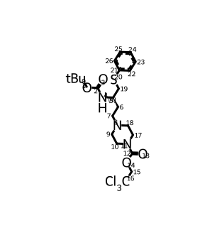 CC(C)(C)OC(=O)N[C@H](CCN1CCN(C(=O)OCC(Cl)(Cl)Cl)CC1)CSc1ccccc1